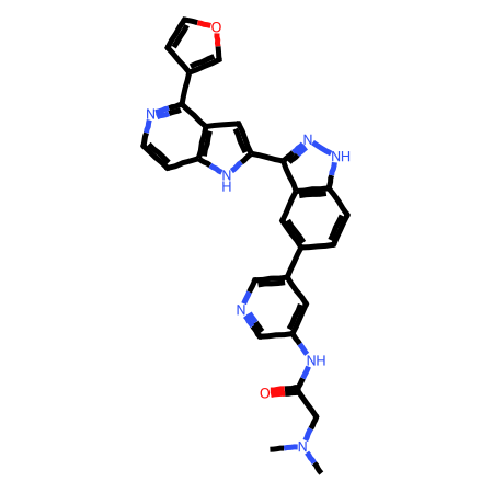 CN(C)CC(=O)Nc1cncc(-c2ccc3[nH]nc(-c4cc5c(-c6ccoc6)nccc5[nH]4)c3c2)c1